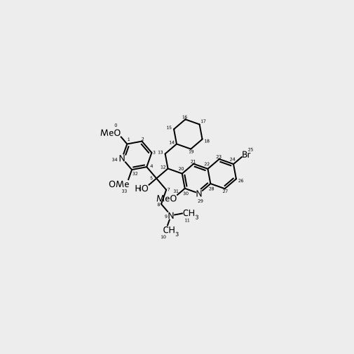 COc1ccc(C(O)(CCN(C)C)C(CC2CCCCC2)c2cc3cc(Br)ccc3nc2OC)c(OC)n1